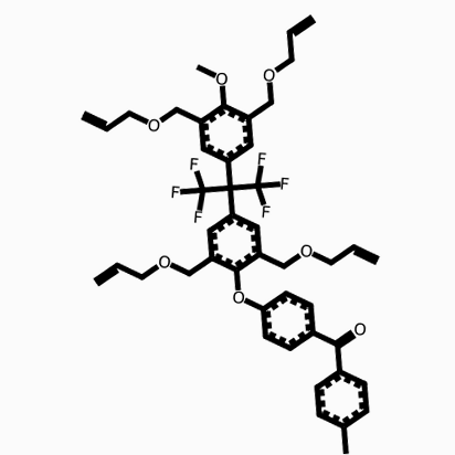 C=CCOCc1cc(C(c2cc(COCC=C)c(Oc3ccc(C(=O)c4ccc(C)cc4)cc3)c(COCC=C)c2)(C(F)(F)F)C(F)(F)F)cc(COCC=C)c1OC